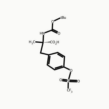 CC(C)(C)OC(=O)N[C@](C)(Cc1ccc(OS(=O)(=O)C(F)(F)F)cc1)C(=O)O